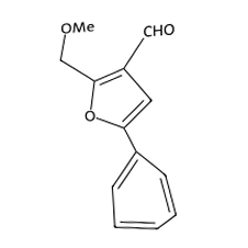 COCc1oc(-c2ccccc2)cc1C=O